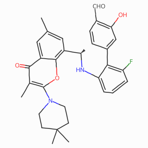 Cc1cc([C@@H](C)Nc2cccc(F)c2-c2ccc(C=O)c(O)c2)c2oc(N3CCC(C)(C)CC3)c(C)c(=O)c2c1